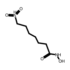 O=C(CCCCCC[SH](=O)=O)NO